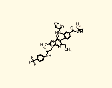 C=CC(=O)Nc1cc(C(=O)NC2(C)CC2)ccc1-c1c(CC)nc2n(CC(=O)Nc3ccc(C(F)(F)F)cc3)c(C)cn2c1=O